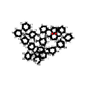 c1ccc(-c2cccc3c2N(c2ccc([Si](c4ccccc4)(c4ccccc4)c4ccccc4)cc2)c2cc(-n4c5ccccc5c5ccccc54)cc4c2B3c2ccc([Si](c3ccccc3)(c3ccccc3)c3ccccc3)cc2N4c2cccc([Si](c3ccccc3)(c3ccccc3)c3ccccc3)c2)cc1